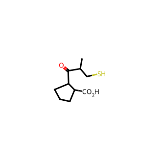 CC(CS)C(=O)C1CCCC1C(=O)O